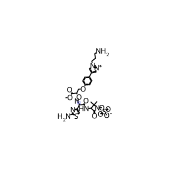 COC(=O)C(COc1ccc(-c2cn(CCCN)[n+](C)c2)cc1)O/N=C(\C(=O)NC1C(=O)N(OS(=O)(=O)[O-])C1(C)C)c1csc(N)n1